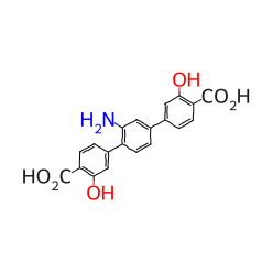 Nc1cc(-c2ccc(C(=O)O)c(O)c2)ccc1-c1ccc(C(=O)O)c(O)c1